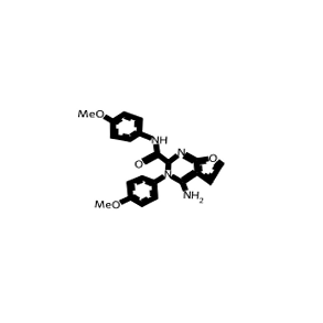 COc1ccc(NC(=O)C2N=c3occc3=C(N)N2c2ccc(OC)cc2)cc1